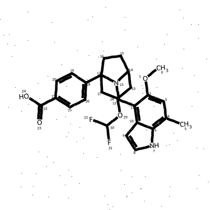 COc1cc(C)c2[nH]ccc2c1CN1C2CCC1(c1ccc(C(=O)O)cc1)CC(OC(F)F)C2